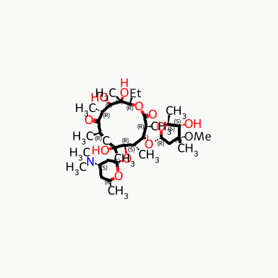 CC[C@H]1OC(=O)[C@H](C)[C@@H](O[C@H]2C[C@@](C)(OC)[C@@H](O)[C@H](C)O2)[C@H](C)[C@@H](O[C@H]2C[C@@H](N(C)C)C[C@@H](C)O2)C(C)(O)C[C@@H](C)C(=O)[C@H](C)[C@@H](O)[C@]1(C)O